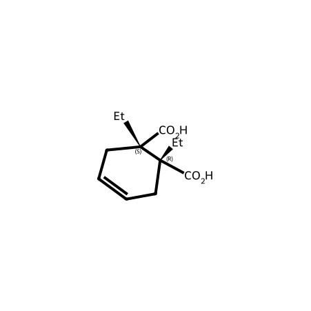 CC[C@@]1(C(=O)O)CC=CC[C@]1(CC)C(=O)O